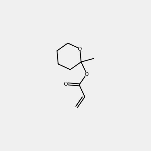 C=CC(=O)OC1(C)CCCCO1